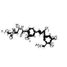 C=Cc1cc(C(/C=C/c2ccc(C(=O)N[C@H](C)CS(=O)(=O)CC(F)(F)F)c(C(F)(F)F)c2)C(F)(F)F)cc(Cl)c1Cl